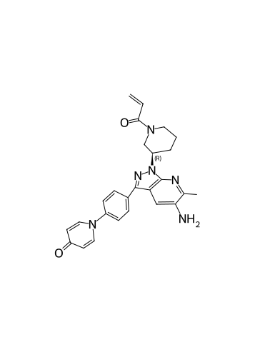 C=CC(=O)N1CCC[C@@H](n2nc(-c3ccc(-n4ccc(=O)cc4)cc3)c3cc(N)c(C)nc32)C1